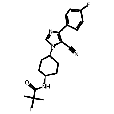 CC(C)(F)C(=O)N[C@H]1CC[C@@H](n2cnc(-c3ccc(F)cc3)c2C#N)CC1